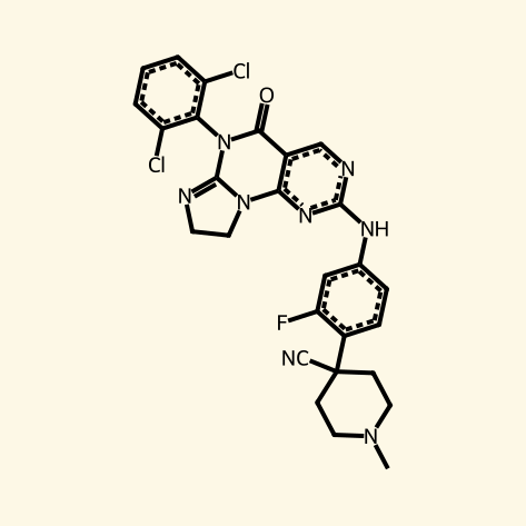 CN1CCC(C#N)(c2ccc(Nc3ncc4c(n3)N3CCN=C3N(c3c(Cl)cccc3Cl)C4=O)cc2F)CC1